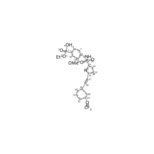 CCOP(=O)(O)c1ccc(NS(=O)(=O)c2csc(C#Cc3cccc(OC(F)(F)F)c3)n2)c(OC)c1